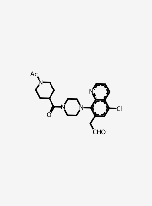 CC(=O)N1CCC(C(=O)N2CCN(c3c(CC=O)cc(Cl)c4cccnc34)CC2)CC1